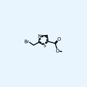 COC(=O)c1cnc(CBr)s1